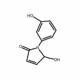 O=C1C=CC(O)N1c1cccc(O)c1